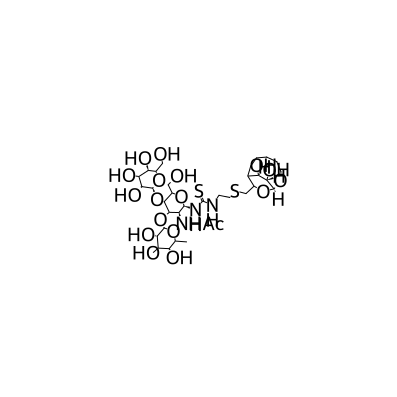 CC(=O)N[C@H]1C(O[C@@H]2OC(C)[C@@H](O)C(O)[C@@H]2O)[C@H](O[C@@H]2OC(CO)[C@H](O)C(O)[C@@H]2O)C(CO)O[C@H]1NC(=S)NCCSCC1O[C@@H]2OCCCCCC1[C@@H](O)[C@@H]2O